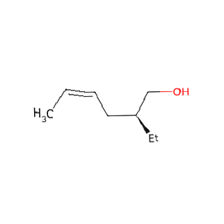 C/C=C\C[C@H](CC)CO